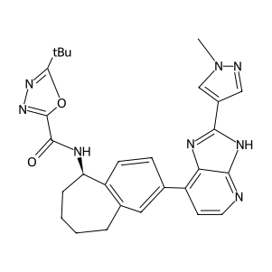 Cn1cc(-c2nc3c(-c4ccc5c(c4)CCCC[C@H]5NC(=O)c4nnc(C(C)(C)C)o4)ccnc3[nH]2)cn1